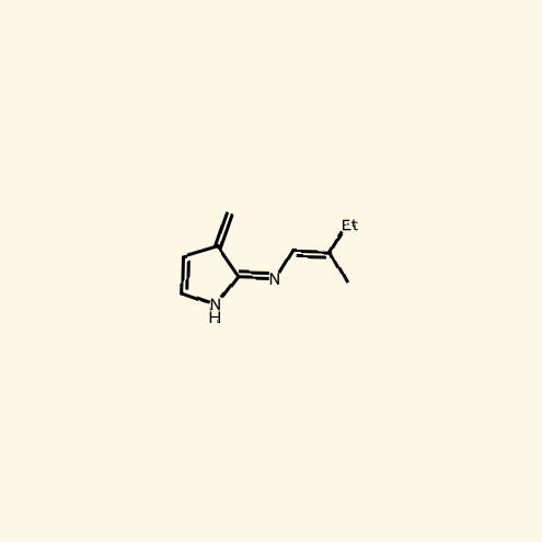 C=C1C=CN/C1=N/C=C(\C)CC